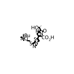 C[C@@H](O)[C@H]1C(=O)N2C(C(=O)O)=C(c3cn4cnc(SCCO[Si](C)(C)C(C)(C)C)c4s3)C[C@H]12